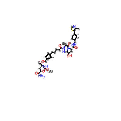 Cc1ncsc1-c1ccc(CNC(=O)[C@@H]2C[C@H](O)CN2C(=O)[C@@H](NC(=O)CCCCc2ccc(CO[C@H](C)[C@H](CCC(N)=O)NC(=O)OC(C)(C)C)cc2)C(C)(C)C)cc1